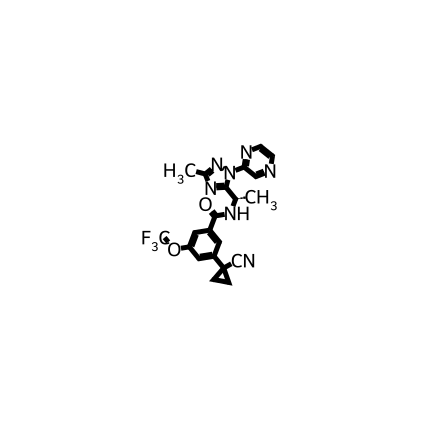 Cc1nc([C@H](C)NC(=O)c2cc(OC(F)(F)F)cc(C3(C#N)CC3)c2)n(-c2cnccn2)n1